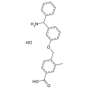 Cc1cc(C(=O)O)ccc1COc1cccc(C(N)c2ccccc2)c1.Cl